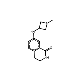 CN1CC(Nc2ccc3c(c2)C(=O)NCC3)C1